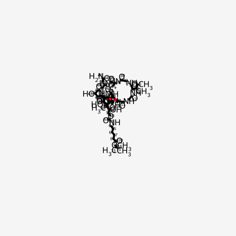 CC[C@H](C)[C@@H]1NC(=O)CNC(=O)[C@H]2Cc3c([nH]c4cc(O)ccc34)[S@+]([O-])CC(NC(=O)CNC1=O)C(=O)N[C@@H](CC(N)=O)C(=O)N1CC(O)C[C@H]1C(=O)N[C@@H]([C@@H](C)[C@@H](O)COC(=O)NCCCCCC(=O)OC(C)(C)C)C(=O)N2